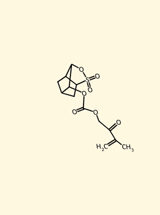 C=C(C)C(=O)COC(=O)OC1C2CC3C1OS(=O)(=O)C3C2